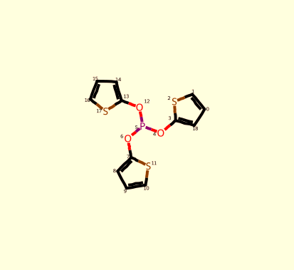 c1csc(OP(Oc2cccs2)Oc2cccs2)c1